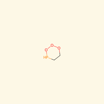 C1CPOOO1